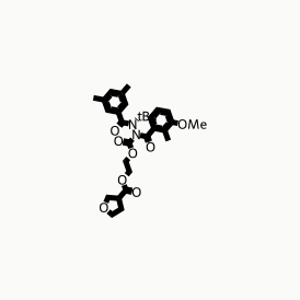 COc1cccc(C(=O)N(C(=O)OCCOC(=O)C2CCOC2)N(C(=O)c2cc(C)cc(C)c2)C(C)(C)C)c1C